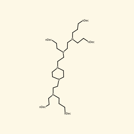 CCCCCCCCCCCCCN(CCCCCCCCCCCC)CCN(CCCCCCCCCCCC)CCN1CCN(CCN(CCCCCCCCCCCC)CCCCCCCCCCCCC)CC1